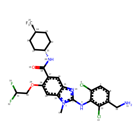 Cn1c(Nc2c(Cl)ccc(CN)c2Cl)nc2cc(C(=O)N[C@H]3CC[C@H](C(F)(F)F)CC3)c(OCC(F)F)cc21